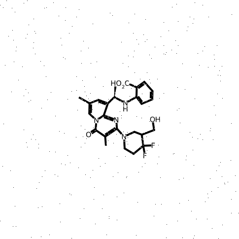 Cc1cc([C@@H](C)Nc2ccccc2C(=O)O)c2nc(N3CCC(F)(F)C(CO)C3)c(C)c(=O)n2c1